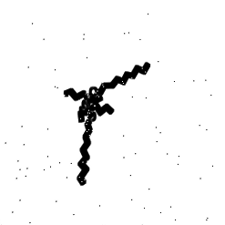 CCCCCCCCCC[O][Sn]([CH2]C)([CH2]CCC)[O][Sn]([CH2]C)([CH2]CCC)[O]CCCCCCCCCC